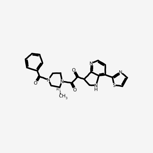 C[C@@H]1CN(C(=O)c2ccccc2)CCN1C(=O)C(=O)C1CNc2c(-c3nccs3)ccnc21